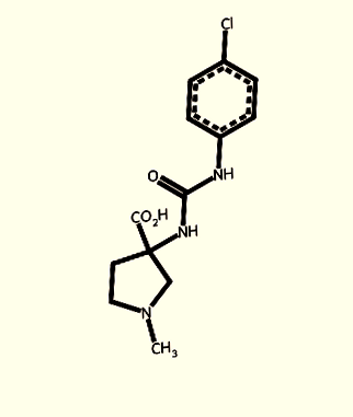 CN1CCC(NC(=O)Nc2ccc(Cl)cc2)(C(=O)O)C1